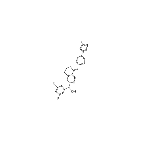 Cc1cn(-c2ccc(/C=C3\CCCN4CC(C(O)c5cc(F)cc(F)c5)ON=C34)cc2)cn1